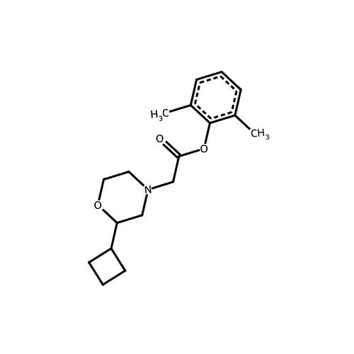 Cc1cccc(C)c1OC(=O)CN1CCOC(C2CCC2)C1